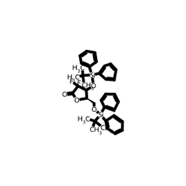 CC(C)(C)[Si](OC[C@H]1OC(=O)C(F)(F)C1O[Si](c1ccccc1)(c1ccccc1)C(C)(C)C)(c1ccccc1)c1ccccc1